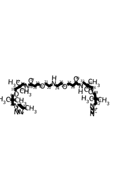 Cc1cn(CC(C)(C)COCC(C)(C)CNC(=O)CCOCCNCCOCCC(=O)NCC(C)(C)COCC(C)(C)CN=[N+]=[N-])nn1